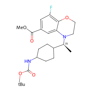 COC(=O)c1cc(F)c2c(c1)N([C@@H](C)C1CCC(NC(=O)OC(C)(C)C)CC1)CCO2